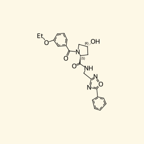 CCOc1cccc(C(=O)N2C[C@H](O)C[C@H]2C(=O)NCc2noc(-c3ccccc3)n2)c1